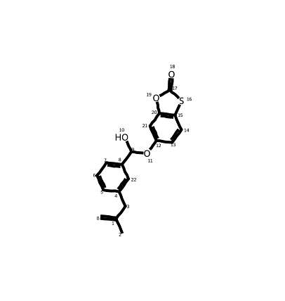 C=C(C)Cc1cccc(C(O)Oc2ccc3sc(=O)oc3c2)c1